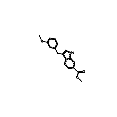 COC(=O)c1ccc2c(Cc3cccc(OC)c3)c[nH]c2c1